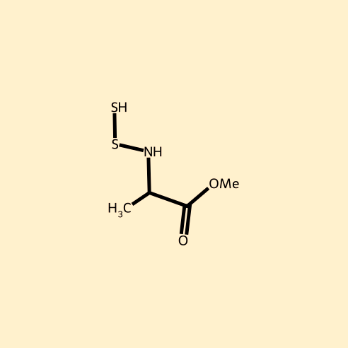 COC(=O)C(C)NSS